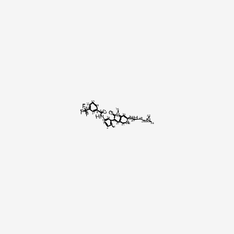 Cc1ccc(NC(=O)c2cccc(C(F)(F)F)c2)cc1-c1cc2cnc(NCCCN(C)C)cc2n(C)c1=O